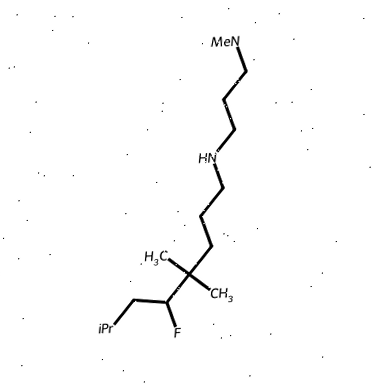 CNCCCNCCCC(C)(C)C(F)CC(C)C